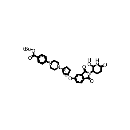 CC(C)(C)OC(=O)c1ccc(N2CCN([C@@H]3CC[C@H](Oc4ccc5c(c4)C(=O)N(C4CCC(=O)NC4O)C5=O)C3)CC2)cc1